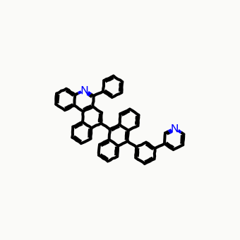 c1ccc(-c2nc3ccccc3c3c2cc(-c2c4ccccc4c(-c4cccc(-c5cccnc5)c4)c4ccccc24)c2ccccc23)cc1